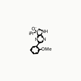 COc1ccccc1-c1cnc2c(n1)[N+]([O-])(C(C)C)CN2